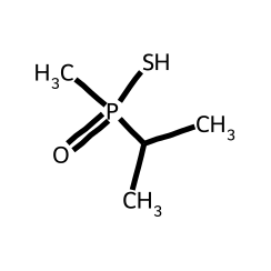 CC(C)P(C)(=O)S